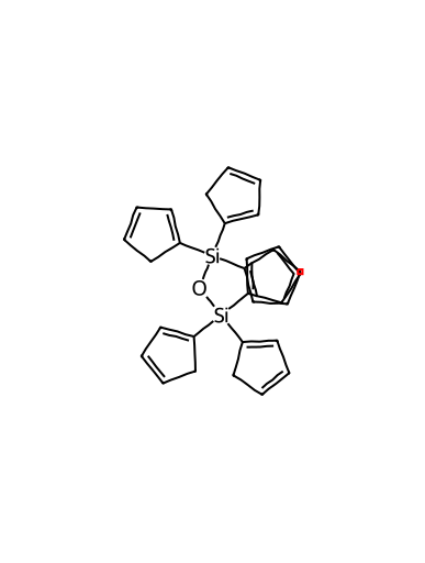 C1=CCC([Si](O[Si](C2=CC=CC2)(C2=CC=CC2)C2=CC=CC2)(C2=CC=CC2)C2=CC=CC2)=C1